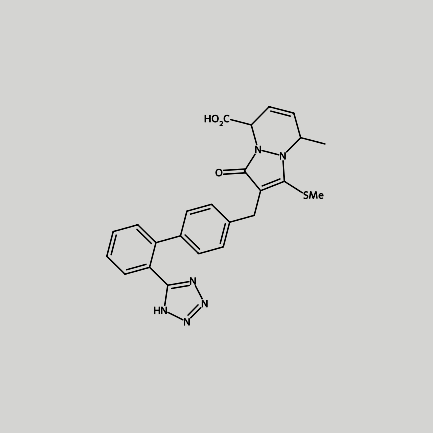 CSc1c(Cc2ccc(-c3ccccc3-c3nnn[nH]3)cc2)c(=O)n2n1C(C)C=CC2C(=O)O